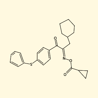 O=C(/C(CC1CCCCC1)=N/OC(=O)C1CC1)c1ccc(Sc2ccccc2)cc1